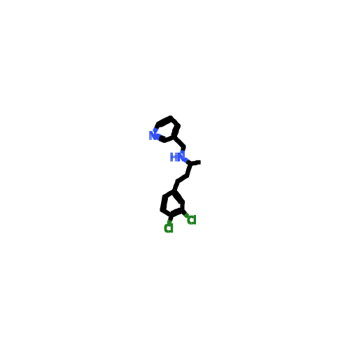 CC(CCc1ccc(Cl)c(Cl)c1)NCc1cccnc1